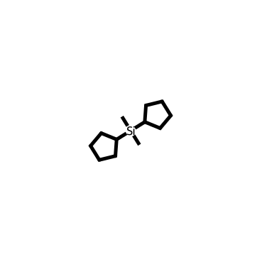 C[Si](C)(C1CCCC1)C1CCCC1